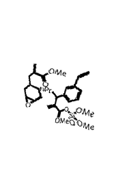 C=C(CC1CCC2OC2C1)C(=O)OC.C=Cc1cccc(C(CCC)C(=C)C(=O)O[Si](OC)(OC)OC)c1